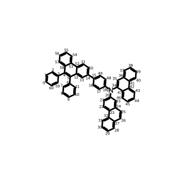 c1ccc(-c2c(-c3ccccc3)c3cc(-c4ccc(N(c5ccc6c(ccc7ccccc76)c5)c5cc6ccccc6c6ccccc56)cc4)ccc3c3ccccc23)cc1